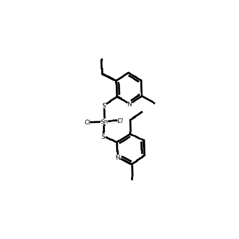 CCc1ccc(C)nc1[S][Sn]([Cl])([Cl])[S]c1nc(C)ccc1CC